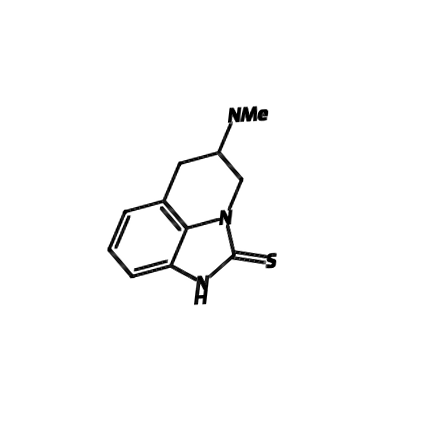 CNC1Cc2cccc3[nH]c(=S)n(c23)C1